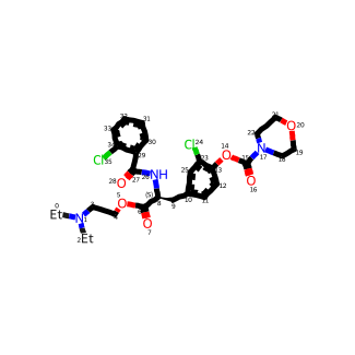 CCN(CC)CCOC(=O)[C@H](Cc1ccc(OC(=O)N2CCOCC2)c(Cl)c1)NC(=O)c1ccccc1Cl